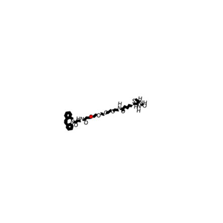 O=C(CCCC[C@@H]1SC[C@@H]2NC(=O)N[C@@H]21)NCCOCCOCCOCCOCCC(=O)NCCC(=O)N1Cc2ccccc2C#Cc2ccccc21